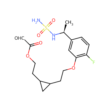 C[C@H](NS(N)(=O)=O)c1ccc(F)c(OCCC2CC2CCOC(=O)C=O)c1